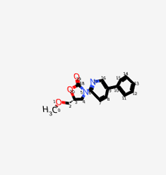 COC[C@H]1CN(c2ccc(-c3ccccc3)cn2)C(=O)O1